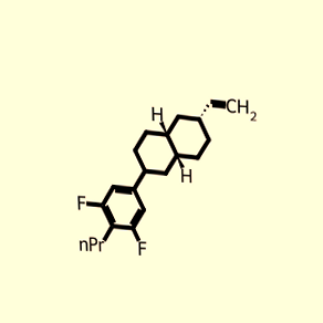 C=C[C@@H]1CC[C@@H]2CC(c3cc(F)c(CCC)c(F)c3)CC[C@@H]2C1